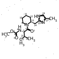 COC(=O)N[C@H](C(=O)N1CCCC[C@H]1Cc1nc(C)c[nH]1)C(C)C